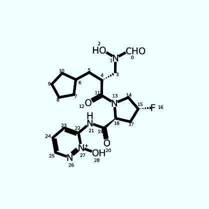 O=CN(O)C[C@@H](CC1CCCC1)C(=O)N1C[C@H](F)C[C@H]1C(=O)Nc1cccn[n+]1O